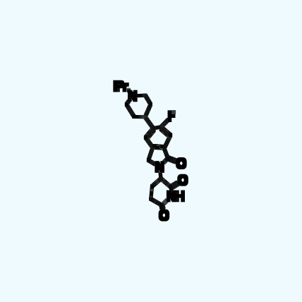 CC(C)N1CCC(c2cc3c(cc2F)C(=O)N(C2CCC(=O)NC2=O)C3)CC1